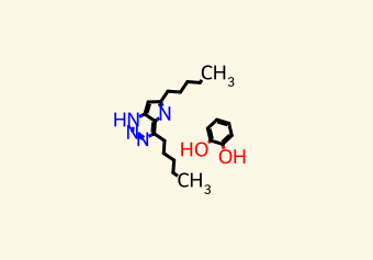 CCCCCc1cc2[nH]nnc(CCCCC)c-2n1.Oc1ccccc1O